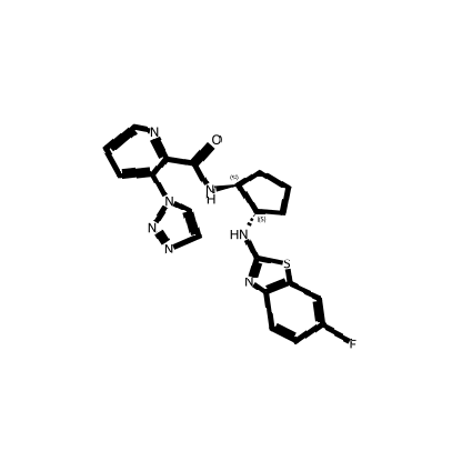 O=C(N[C@H]1CCC[C@@H]1Nc1nc2ccc(F)cc2s1)c1ncccc1-n1ccnn1